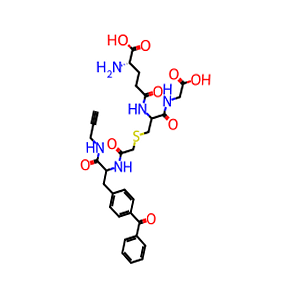 C#CCNC(=O)C(Cc1ccc(C(=O)c2ccccc2)cc1)NC(=O)CSCC(NC(=O)CC[C@H](N)C(=O)O)C(=O)NCC(=O)O